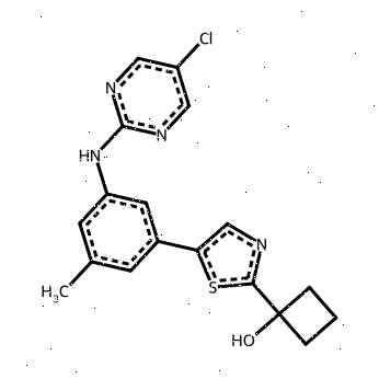 Cc1cc(Nc2ncc(Cl)cn2)cc(-c2cnc(C3(O)CCC3)s2)c1